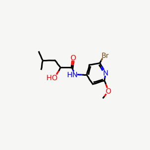 COc1cc(NC(=O)C(O)CC(C)C)cc(Br)n1